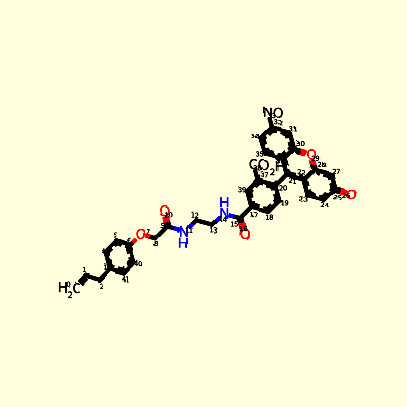 C=CCc1ccc(OCC(=O)NCCNC(=O)c2ccc(-c3c4ccc(=O)cc-4oc4cc(N=O)ccc34)c(C(=O)O)c2)cc1